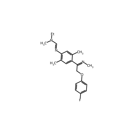 CCN(C)C=Nc1cc(C)c(C(COc2ccc(F)cc2)=NC)cc1C